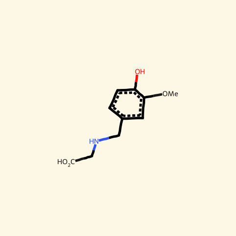 COc1cc(CNCC(=O)O)ccc1O